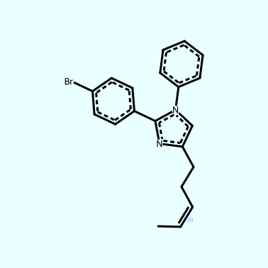 C/C=C\CCc1cn(-c2ccccc2)c(-c2ccc(Br)cc2)n1